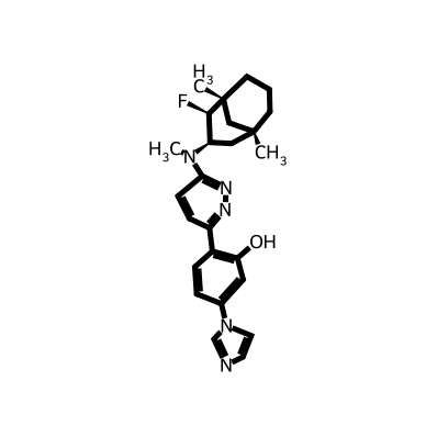 CN(c1ccc(-c2ccc(-n3ccnc3)cc2O)nn1)[C@@H]1C[C@@]2(C)CCC[C@](C)(C2)[C@@H]1F